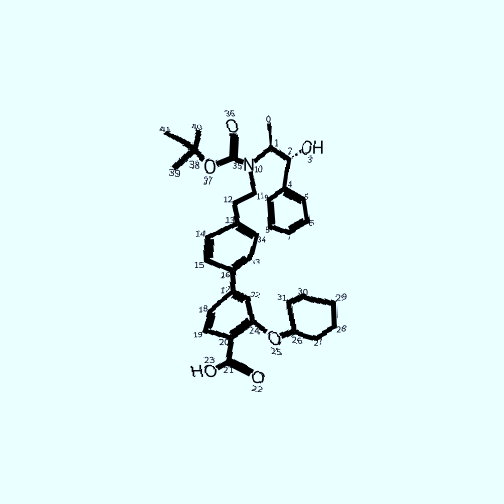 C[C@@H]([C@H](O)c1ccccc1)N(CCc1ccc(-c2ccc(C(=O)O)c(OC3CCCCC3)c2)cc1)C(=O)OC(C)(C)C